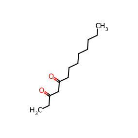 CCCCCCCCC(=O)CC(=O)CC